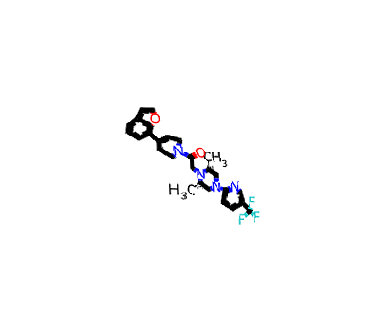 C[C@@H]1CN(c2ccc(C(F)(F)F)cn2)C[C@H](C)N1CC(=O)N1CC=C(c2cccc3ccoc23)CC1